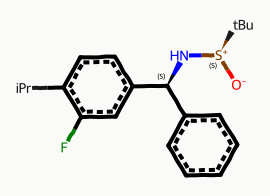 CC(C)c1ccc([C@@H](N[S@+]([O-])C(C)(C)C)c2ccccc2)cc1F